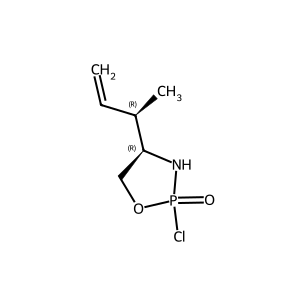 C=C[C@@H](C)[C@@H]1COP(=O)(Cl)N1